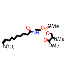 CCCCCCCC/C=C\CCCCCCCC(=O)NCCOP(OC)OCC(NC)C(=O)OC